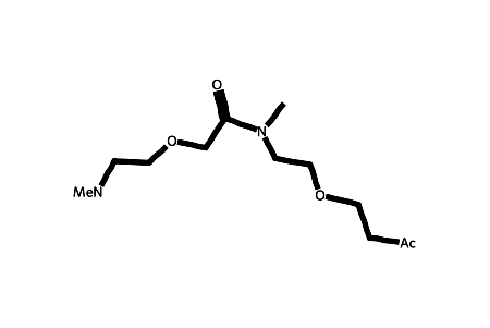 CNCCOCC(=O)N(C)CCOCCC(C)=O